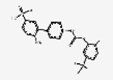 Nc1ncc(P(=O)(O)O)cc1-c1ccc(NC(=O)Nc2cc(C(F)(F)F)ccc2F)cc1